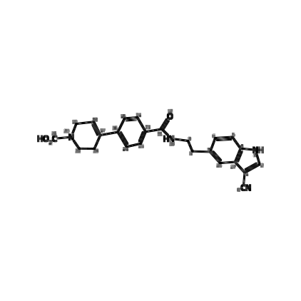 N#Cc1c[nH]c2ccc(CCNC(=O)c3ccc(C4=CCN(C(=O)O)CC4)cc3)cc12